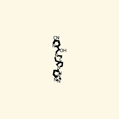 N#Cc1ccc(C(O)CN2CCC3(CC2)CCN(c2ccc4nncn4n2)C3)nc1